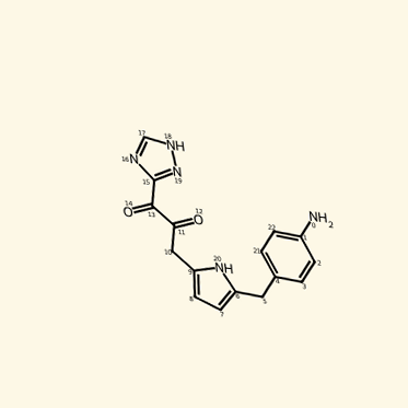 Nc1ccc(Cc2ccc(CC(=O)C(=O)c3nc[nH]n3)[nH]2)cc1